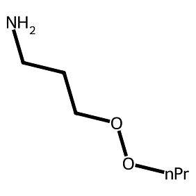 CCCOOCCCN